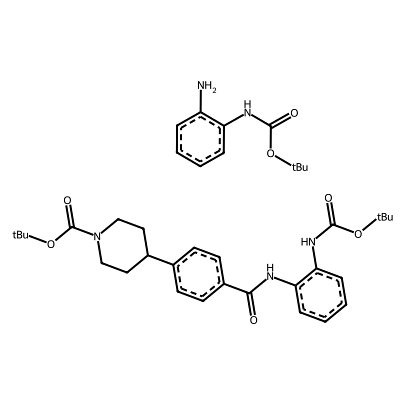 CC(C)(C)OC(=O)Nc1ccccc1N.CC(C)(C)OC(=O)Nc1ccccc1NC(=O)c1ccc(C2CCN(C(=O)OC(C)(C)C)CC2)cc1